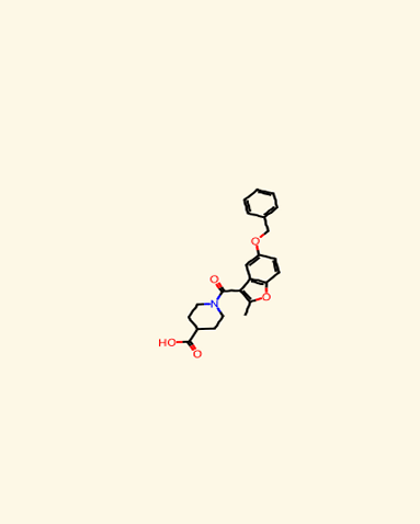 Cc1oc2ccc(OCc3ccccc3)cc2c1C(=O)N1CCC(C(=O)O)CC1